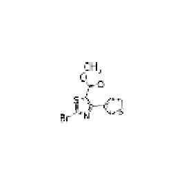 COC(=O)c1sc(Br)nc1-c1ccsc1